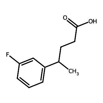 CC(CCC(=O)O)c1cccc(F)c1